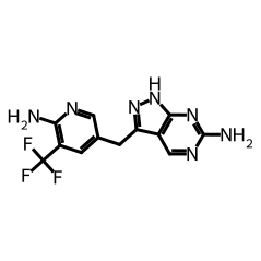 Nc1ncc2c(Cc3cnc(N)c(C(F)(F)F)c3)n[nH]c2n1